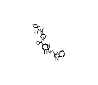 CN(C(=O)C1(C)CCC1)[C@H]1CCN(C(=O)c2ccc(NCc3cnc4ccccn34)nc2)C1